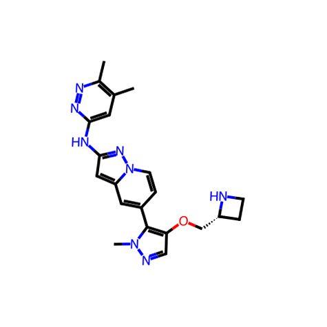 Cc1cc(Nc2cc3cc(-c4c(OC[C@H]5CCN5)cnn4C)ccn3n2)nnc1C